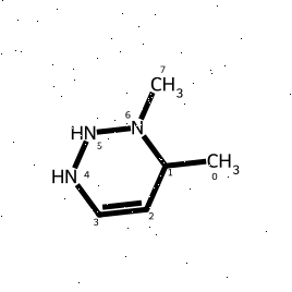 CC1C=CNNN1C